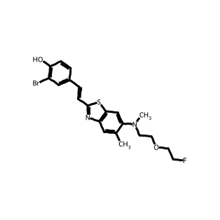 Cc1cc2nc(C=Cc3ccc(O)c(Br)c3)sc2cc1N(C)CCOCCF